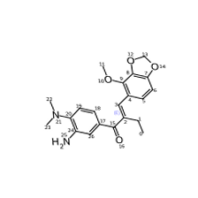 CC/C(=C\c1ccc2c(c1OC)OCO2)C(=O)c1ccc(N(C)C)c(N)c1